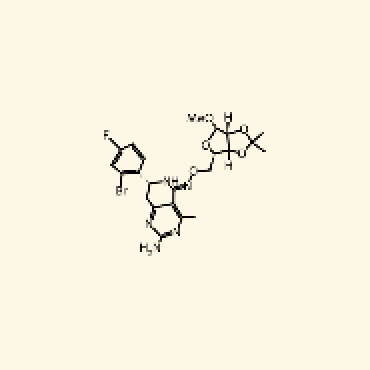 CO[C@@H]1O[C@H](CO/N=C2\N[C@@H](c3ccc(F)cc3Br)Cc3nc(N)nc(C)c32)[C@H]2OC(C)(C)O[C@@H]12